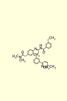 CCc1cccc(C(=O)N/C(CCc2cccc(C(/C=C\C(C)=O)=N/C)c2)=N/c2ccc(CC(=O)N(C)C)cc2C)c1